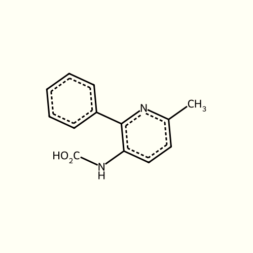 Cc1ccc(NC(=O)O)c(-c2ccccc2)n1